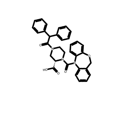 O=C(O)[C@@H]1CN(C(=O)C(c2ccccc2)c2ccccc2)CCN1C(=O)N1c2ccccc2COc2ccccc21